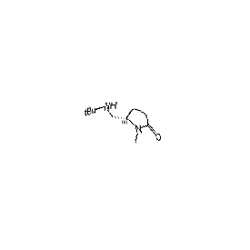 CN1C(=O)CC[C@H]1CNC(C)(C)C